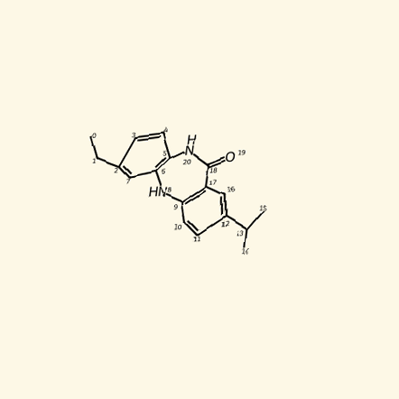 CCc1ccc2c(c1)Nc1ccc(C(C)C)cc1C(=O)N2